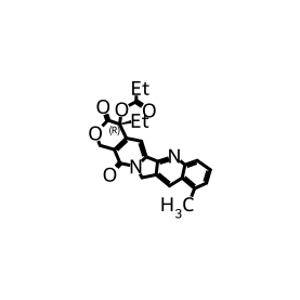 CCC(=O)O[C@@]1(CC)C(=O)OCc2c1cc1n(c2=O)Cc2cc3c(C)cccc3nc2-1